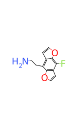 NCCc1c2ccoc2c(F)c2ccoc12